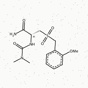 COc1ccccc1CS(=O)(=O)C[C@H](NC(=O)N(C)C)C(N)=O